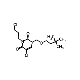 C[Si](C)(C)CCOCn1cc(Cl)c(=O)n(CCCCl)c1=O